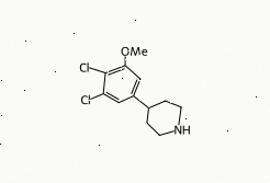 COc1cc(C2CCNCC2)cc(Cl)c1Cl